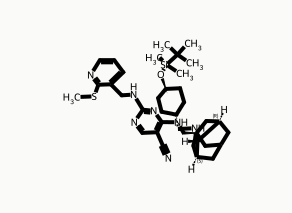 CSc1ncccc1CNc1ncc(C#N)c(NC[C@]23CC4C[C@H](C2)[C@@H](NC[C@H]2CC[C@H](O[Si](C)(C)C(C)(C)C)CC2)[C@@H](C4)C3)n1